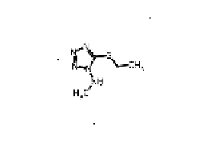 CCSc1nnnn1NC